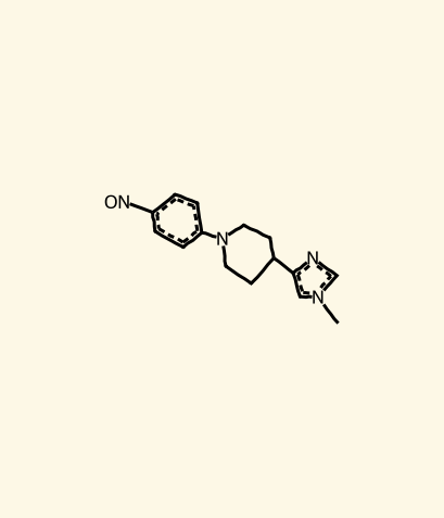 Cn1cnc(C2CCN(c3ccc(N=O)cc3)CC2)c1